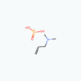 C=CCN(C)C.O=[PH](O)O